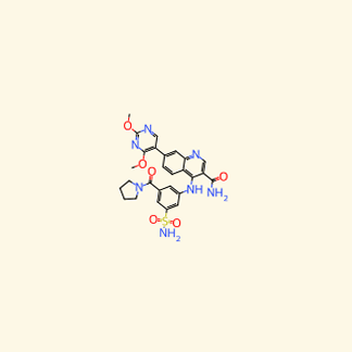 COc1ncc(-c2ccc3c(Nc4cc(C(=O)N5CCCC5)cc(S(N)(=O)=O)c4)c(C(N)=O)cnc3c2)c(OC)n1